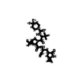 CC(C)(C)C(NC(=O)N1CCC(F)(F)CC1)C(=O)N1CC2C(C1C(=O)NC(C#N)CC1CC3(CC3)NC1=O)C2(C)C